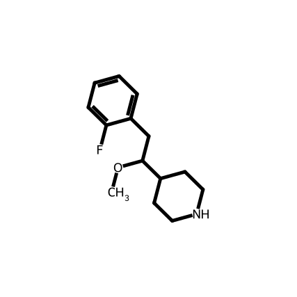 COC(Cc1ccccc1F)C1CCNCC1